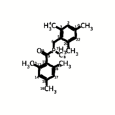 Cc1cc(C)c(CP(C)C(=O)c2c(C)cc(C)cc2C)c(C)c1